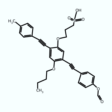 CCCCOc1cc(C#Cc2ccc(C)cc2)c(OCCCS(=O)(=O)O)cc1C#Cc1ccc(OC=O)cc1